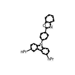 CCCc1ccc2c(c1)c1cc(CCC)ccc1n2-c1ccc(-c2nc3ccccc3o2)cc1